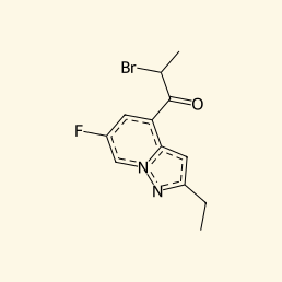 CCc1cc2c(C(=O)C(C)Br)cc(F)cn2n1